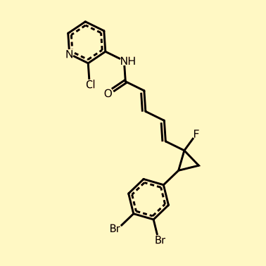 O=C(/C=C/C=C/C1(F)CC1c1ccc(Br)c(Br)c1)Nc1cccnc1Cl